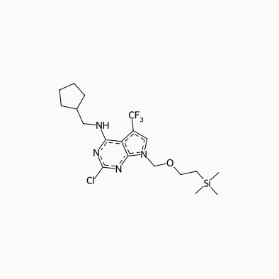 C[Si](C)(C)CCOCn1cc(C(F)(F)F)c2c(NCC3CCCC3)nc(Cl)nc21